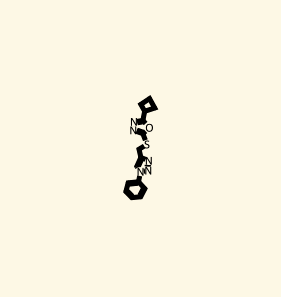 c1ccc(-n2cc(CSc3nnc(C4CCC4)o3)nn2)cc1